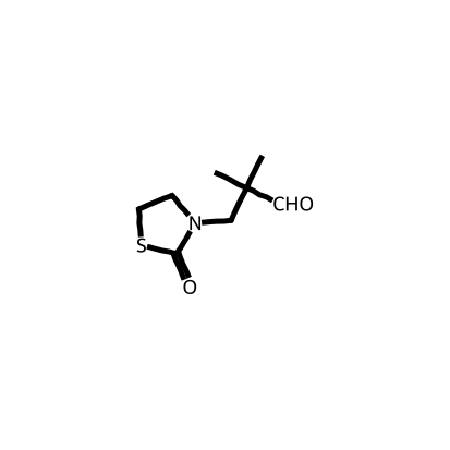 CC(C)(C=O)CN1CCSC1=O